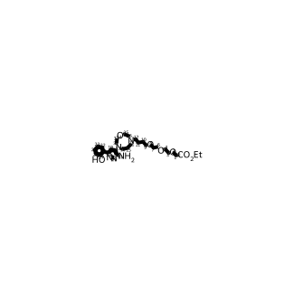 CCOC(=O)COCCOCCOCCCCN1CCCN(c2cc(-c3ccccc3O)nnc2N)CCOCC1